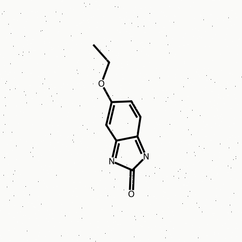 CCOc1ccc2c(c1)=NC(=O)N=2